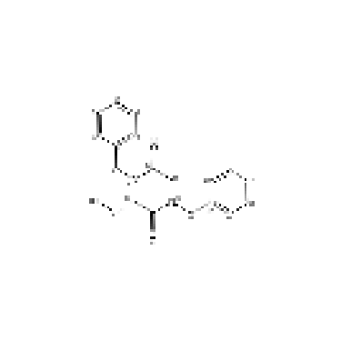 O=C1[C@H](CO)N(Cc2ccccc2)C(=O)CN1Cc1ccccc1